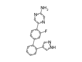 Nc1cnc(-c2ccc(-c3ccccc3-c3cn[nH]c3)cc2F)cn1